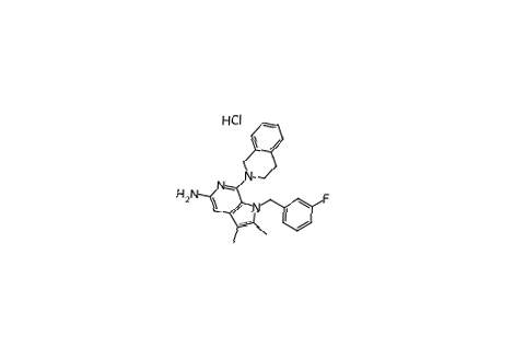 Cc1c(C)n(Cc2cccc(F)c2)c2c(N3CCc4ccccc4C3)nc(N)cc12.Cl